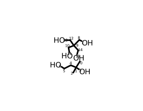 CC(C)(O)CCO.OCC(CO)(CO)CO